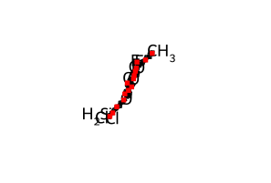 CCCCCCCCC(OC(=O)c1ccc(OC(=O)c2ccc(-c3ccc(OCCCCCCCC[SiH2]C(Cl)Cl)cc3)cc2)cc1)C(F)(F)F